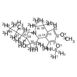 [2H]c1c(OC([2H])([2H])[2H])c(OC)c([2H])c2c1C1N(CC([2H])(C([2H])([2H])C([2H])(C)C([2H])([2H])[2H])C([2H])(O)C1([2H])[2H])C([2H])([2H])C2([2H])[2H]